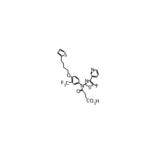 O=C(O)CCC(=O)N(c1ccc(OCCCCc2cccs2)c(C(F)(F)F)c1)c1nc(-c2cccnc2)c(F)s1